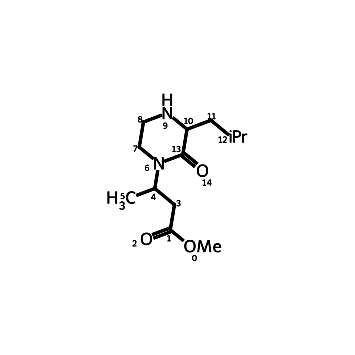 COC(=O)CC(C)N1CCNC(CC(C)C)C1=O